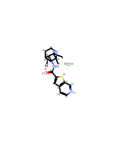 CC1(C)[C@H](NC(=O)c2cc3ccncc3s2)C2CCN1CC2.Cl